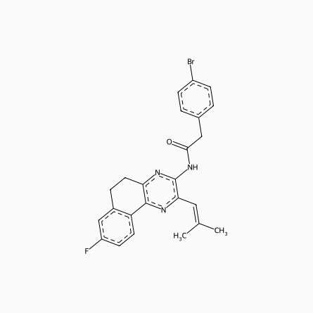 CC(C)=Cc1nc2c(nc1NC(=O)Cc1ccc(Br)cc1)CCc1cc(F)ccc1-2